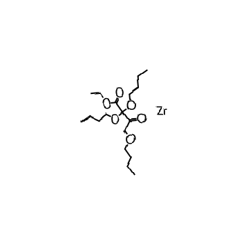 CCCCOCC(=O)C(OCCCC)(OCCCC)C(=O)OCC.[Zr]